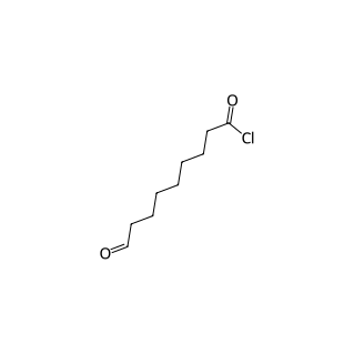 O=CCCCCCCCC(=O)Cl